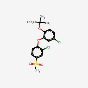 CC(C)(Oc1ccc(Cl)cc1Oc1ccc(S(C)(=O)=O)cc1Cl)C(=O)O